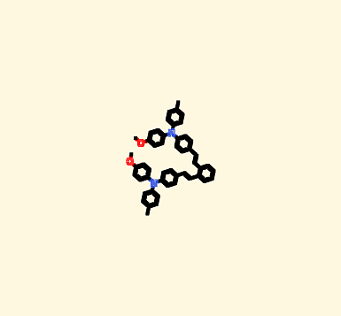 COc1ccc(N(c2ccc(C)cc2)c2ccc(C=Cc3ccccc3C=Cc3ccc(N(c4ccc(C)cc4)c4ccc(OC)cc4)cc3)cc2)cc1